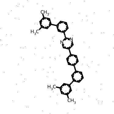 Cc1cc(C)cc(-c2cccc(-c3ccc(-c4cnc(-c5cccc(-c6cc(C)cc(C)c6)c5)nc4)cc3)c2)c1